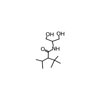 CC(C)C(C(=O)NC(CO)CO)C(C)(C)C